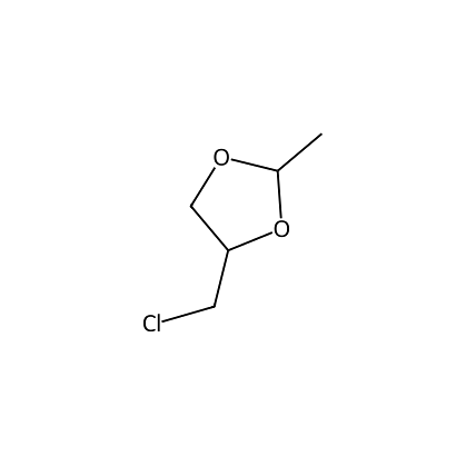 CC1OCC(CCl)O1